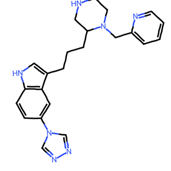 c1ccc(CN2CCNCC2CCCc2c[nH]c3ccc(-n4cnnc4)cc23)nc1